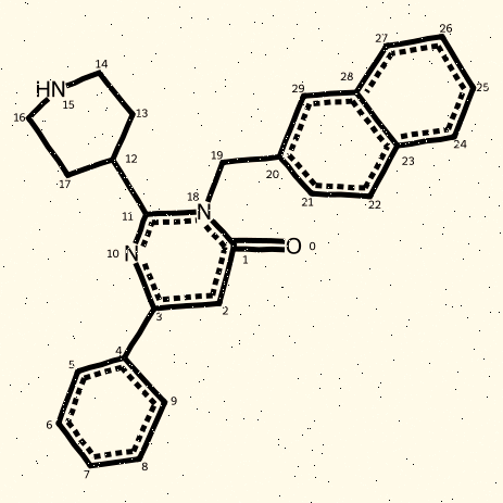 O=c1cc(-c2ccccc2)nc(C2CCNCC2)n1Cc1ccc2ccccc2c1